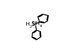 [SiH4].c1ccc([SiH2]c2ccccc2)cc1